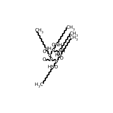 CCCCCCCCCCCCNC(=O)CCN(CCC(=O)NCCCCCCCCCCCC)CCN(CCC=O)CCN(CCC(=O)NCCCCCCCCCCCC)CCN(CCC(=O)NCCCCCCCCCCCC)CCC(=O)NCCCCCCCCCCCC